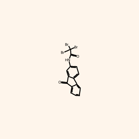 O=C1c2ccccc2-c2ccc(NC(=O)C(Br)(Br)Br)cc21